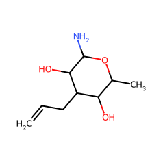 C=CCC1C(O)[C](N)OC(C)C1O